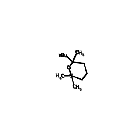 CCCCC1(C)CCC[Si](C)(C)O1